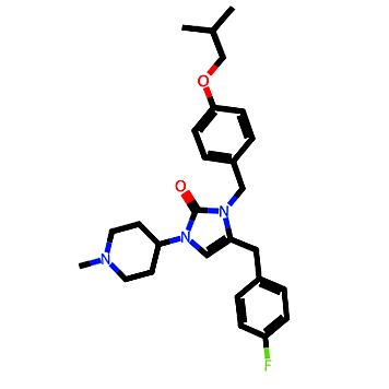 CC(C)COc1ccc(Cn2c(Cc3ccc(F)cc3)cn(C3CCN(C)CC3)c2=O)cc1